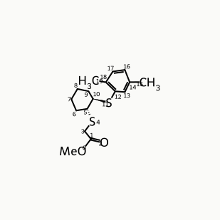 COC(=O)CS[C@@H]1CCCC[C@H]1Sc1cc(C)ccc1C